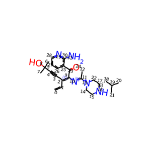 C=C/C(C#CC(C)(C)O)=C(\N=C(/C)N1CCN[C@@H](CC(C)C)C1)C(=O)c1cccnc1N